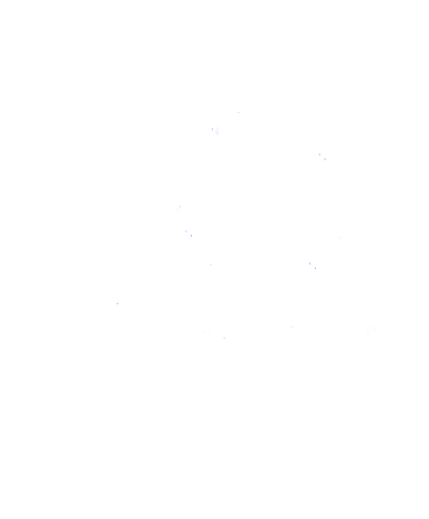 Brc1ccccc1C1=CC2=CC3=NC(=CC4=NC(=CC5=NC(=C(c6ccccc6Br)C1=N2)C(c1ccccc1Br)=C5c1ccccc1Br)C=C4)C=C3